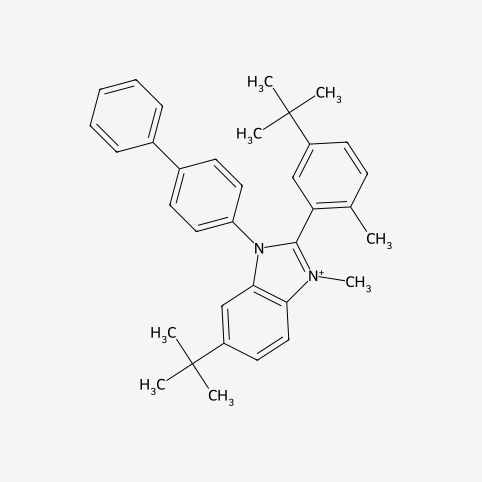 Cc1ccc(C(C)(C)C)cc1-c1n(-c2ccc(-c3ccccc3)cc2)c2cc(C(C)(C)C)ccc2[n+]1C